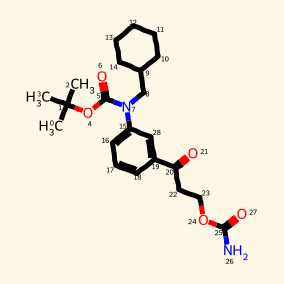 CC(C)(C)OC(=O)N(CC1CCCCC1)c1cccc(C(=O)CCOC(N)=O)c1